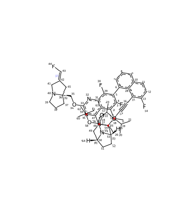 COc1c(F)c(-c2cccc3ccc(F)c(C#C[Si](C(C)C)(C(C)C)C(C)C)c23)c(F)c2nc(OC[C@@]34CCCN3C/C(=C\F)C4)nc(N3C[C@H]4CC[C@@H](C3)N4C(=O)OC(C)(C)C)c12